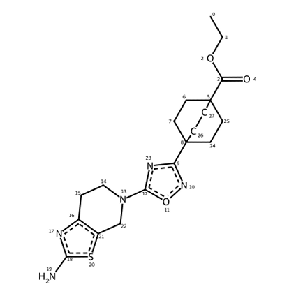 CCOC(=O)C12CCC(c3noc(N4CCc5nc(N)sc5C4)n3)(CC1)CC2